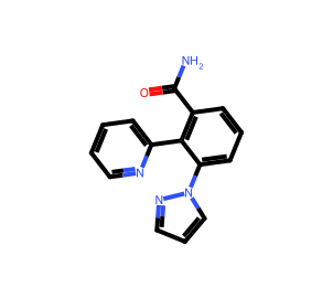 NC(=O)c1cccc(-n2cccn2)c1-c1ccccn1